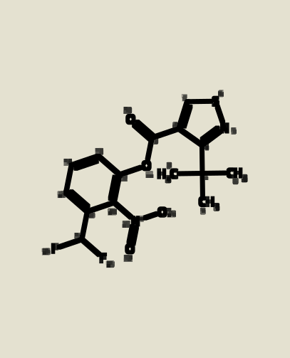 CC(C)(C)c1nscc1C(=O)Oc1cccc(C(F)F)c1[N+](=O)[O-]